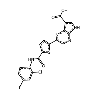 O=C(Nc1ccc(I)cc1Cl)c1ccc(-c2cnc3[nH]cc(C(=O)O)c3n2)s1